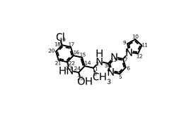 C[C@H](Nc1nccc(-n2cccc2)n1)C1=Cc2cc(Cl)ccc2NC1O